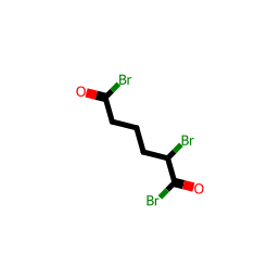 O=C(Br)CCCC(Br)C(=O)Br